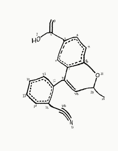 C=C(O)c1ccc2c(c1)C(c1ccccc1C#N)=CC(C)O2